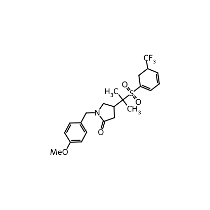 COc1ccc(CN2CC(C(C)(C)S(=O)(=O)C3=CC=CC(C(F)(F)F)C3)CC2=O)cc1